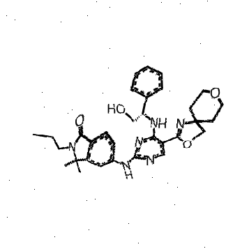 CCCN1C(=O)c2ccc(Nc3ncc(C4=NC5(CCOCC5)CO4)c(N[C@H](CO)c4ccccc4)n3)cc2C1(C)C